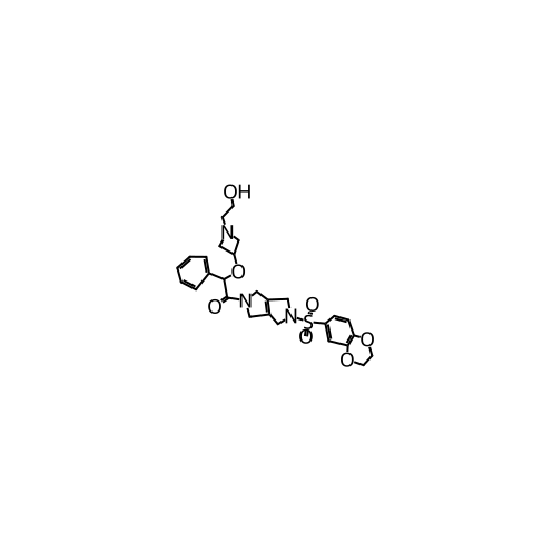 O=C(C(OC1CN(CCO)C1)c1ccccc1)N1CC2=C(C1)CN(S(=O)(=O)c1ccc3c(c1)OCCO3)C2